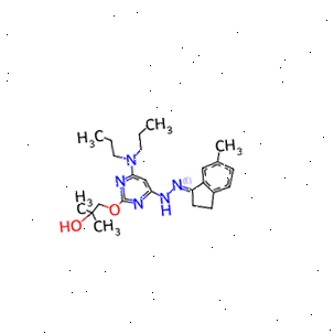 CCCN(CCC)c1cc(N/N=C2\CCc3ccc(C)cc32)nc(OCC(C)(C)O)n1